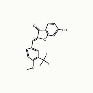 COc1ccc(/C=C2\Oc3cc(O)ccc3C2=O)cc1C(F)(F)F